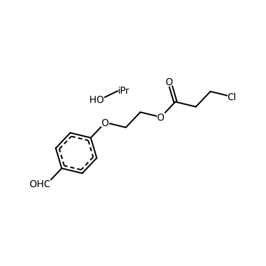 CC(C)O.O=Cc1ccc(OCCOC(=O)CCCl)cc1